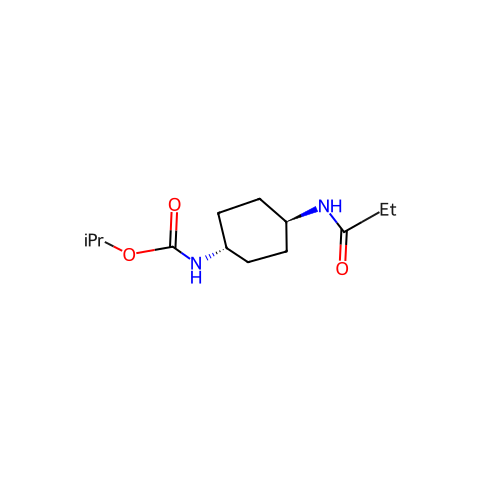 CCC(=O)N[C@H]1CC[C@H](NC(=O)OC(C)C)CC1